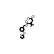 CC1(C)C(C=C(Cl)Cl)C1C(=O)OCc1cccc(Oc2cccs2)c1